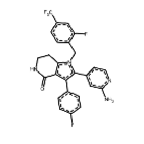 Nc1cc(-c2c(-c3ccc(F)cc3)c3c(n2Cc2ccc(C(F)(F)F)cc2F)CCNC3=O)ccn1